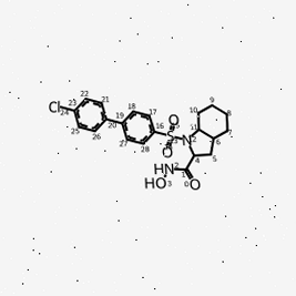 O=C(NO)C1CC2CCCCC2N1S(=O)(=O)c1ccc(-c2ccc(Cl)cc2)cc1